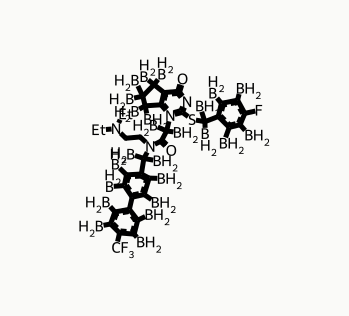 Bc1c(B)c(C(B)(B)Sc2nc(=O)c3c(n2C(B)(B)C(=O)N(CCN(CC)CC)C(B)(B)c2c(B)c(B)c(-c4c(B)c(B)c(C(F)(F)F)c(B)c4B)c(B)c2B)C(B)(B)C(B)(B)C3(B)B)c(B)c(B)c1F